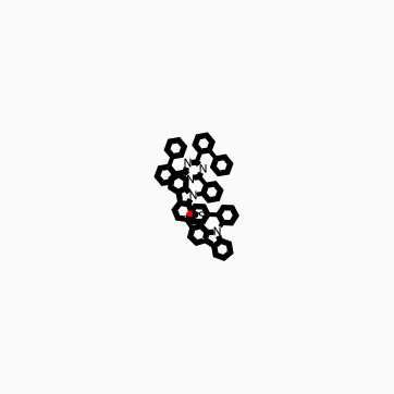 c1ccc(-c2ccccc2-c2nc(-c3ccccc3-c3ccccc3)nc(-c3ccccc3-n3c4ccccc4c4ccc5c6ccc7c8ccccc8n(-c8ccccc8-c8ccccc8)c7c6sc5c43)n2)cc1